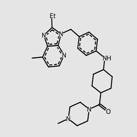 CCc1nc2c(C)ccnc2n1Cc1ccc(NC2CCC(C(=O)N3CCN(C)CC3)CC2)cc1